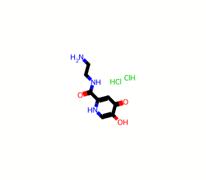 Cl.Cl.NCCNC(=O)c1cc(=O)c(O)c[nH]1